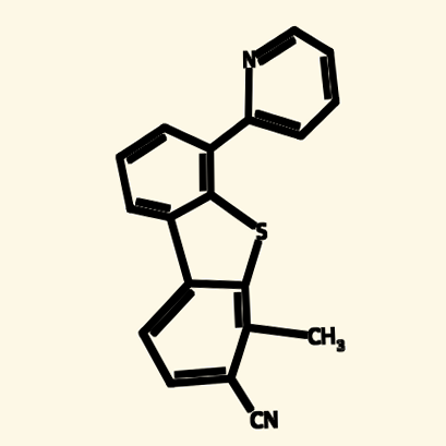 Cc1c(C#N)ccc2c1sc1c(-c3ccccn3)cccc12